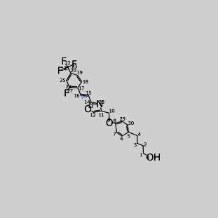 OCCCCc1ccc(OCc2coc(/C=C/c3ccc(C(F)(F)F)cc3F)n2)cc1